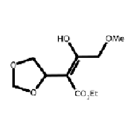 CCOC(=O)/C(=C(/O)COC)C1COCO1